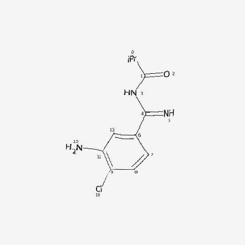 CC(C)C(=O)NC(=N)c1ccc(Cl)c(N)c1